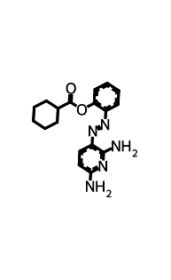 Nc1ccc(/N=N/c2ccccc2OC(=O)C2CCCCC2)c(N)n1